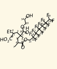 CCC(CC(C)(CC(C)C(=O)OCC(F)(F)C(F)(F)C(F)(F)C(F)(F)C(F)(F)C(F)F)C(O)OCCO)C(=O)O